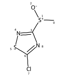 C[S+]([O-])c1nsc(Cl)n1